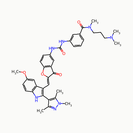 COc1ccc2[nH]c(-c3c(C)nn(C)c3C)c(/C=C3\Oc4ccc(NC(=O)Nc5cccc(C(=O)N(C)CCCN(C)C)c5)cc4C3=O)c2c1